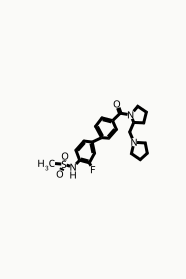 CS(=O)(=O)Nc1ccc(-c2ccc(C(=O)N3CCCC3CN3CCCC3)cc2)cc1F